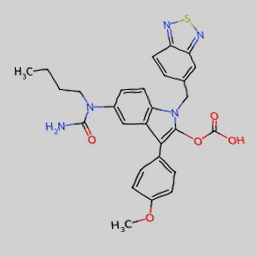 CCCCN(C(N)=O)c1ccc2c(c1)c(-c1ccc(OC)cc1)c(OC(=O)O)n2Cc1ccc2nsnc2c1